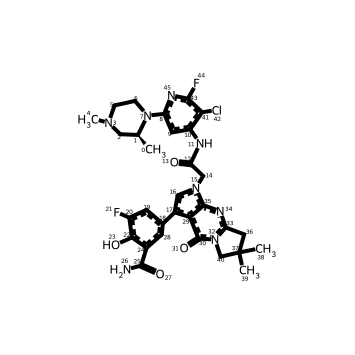 C[C@H]1CN(C)CCN1c1cc(NC(=O)Cn2cc(-c3cc(F)c(O)c(C(N)=O)c3)c3c(=O)n4c(nc32)CC(C)(C)C4)c(Cl)c(F)n1